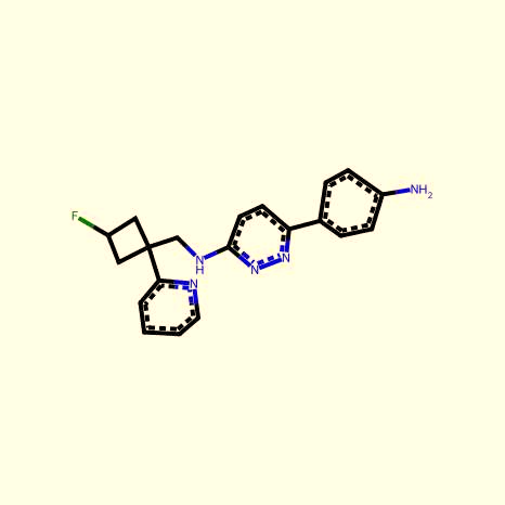 Nc1ccc(-c2ccc(NCC3(c4ccccn4)CC(F)C3)nn2)cc1